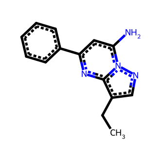 CCc1cnn2c(N)cc(-c3ccccc3)nc12